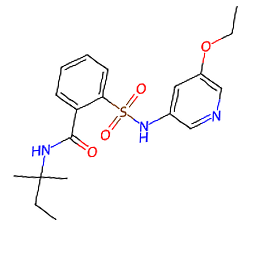 CCOc1cncc(NS(=O)(=O)c2ccccc2C(=O)NC(C)(C)CC)c1